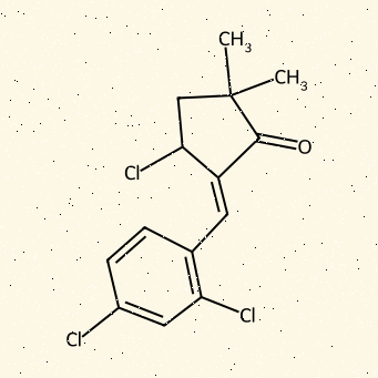 CC1(C)CC(Cl)/C(=C\c2ccc(Cl)cc2Cl)C1=O